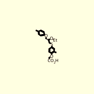 CCO[C@H](COc1ccc(C)cc1)CSc1ccc(OCC(=O)O)c(C)c1